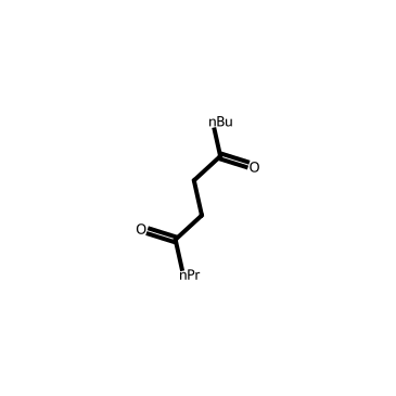 CCCCC(=O)CCC(=O)CCC